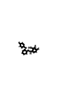 Cc1ccc(Sc2ccccc2CNc2ccc(F)c(F)c2O)cc1